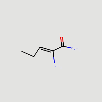 CC/C=C(\N)C(N)=O